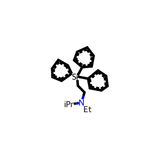 CCN(CC[Si](c1ccccc1)(c1ccccc1)c1ccccc1)C(C)C